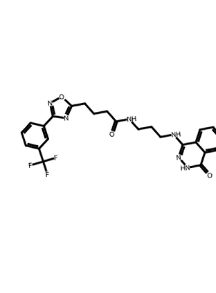 O=C(CCCc1nc(-c2cccc(C(F)(F)F)c2)no1)NCCCNc1n[nH]c(=O)c2ccccc12